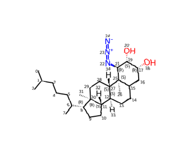 CC(C)CCCC(C)[C@H]1CC[C@H]2[C@@H]3CCC4C[C@@H](O)[C@@H](O)[C@H](N=[N+]=[N-])[C@]4(C)[C@H]3CC[C@]12C